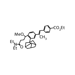 CCOC(=O)c1ccc(C=C(C)c2ccc(C(CCC(=O)N(CC)CC)OC)c(C34CC5CC(CC(C5)C3)C4)c2)cc1